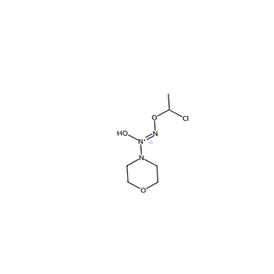 CC(Cl)O/N=[N+](\O)N1CCOCC1